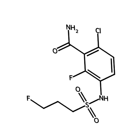 NC(=O)c1c(Cl)ccc(NS(=O)(=O)CCCF)c1F